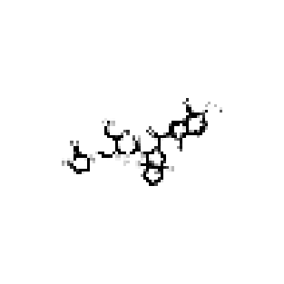 Cn1ccc2[nH]c(C(=O)N3C[C@@H]4CCC[C@@H]4[C@H]3C(=O)N[C@@H](CC[C@@H]3CCNC3=O)C(=O)CO)cc2c1=O